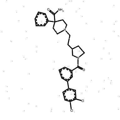 NC(=O)C1(c2ccccc2)CCN(CCC2CCN(C(=O)c3cccc(-c4ccc(Cl)c(Cl)c4)c3)C2)CC1